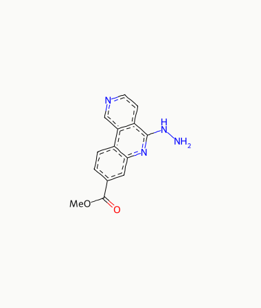 COC(=O)c1ccc2c(c1)nc(NN)c1ccncc12